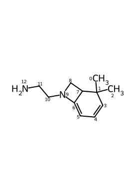 CC1(C)C=CC=C2C1CN2CCN